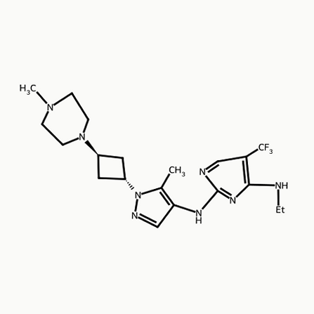 CCNc1nc(Nc2cnn([C@H]3C[C@H](N4CCN(C)CC4)C3)c2C)ncc1C(F)(F)F